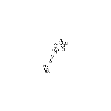 CN1Cc2c(Cl)cc(Cl)cc2[C@H](c2cccc(S(=O)(=O)N(C)CCOCCOCCNC(=O)OC(C)(C)C)c2)C1